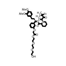 CCC(C)(C)C(=O)C(=O)N1CCCCC1C(=O)O[C@H](CCc1ccc(OC)c(OC)c1)c1cccc(OCC(=O)OCCOCCOCCO)c1